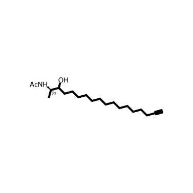 C#CCCCCCCCCCCCCCC(O)[C@@H](C)NC(C)=O